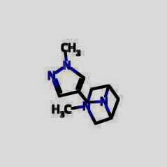 CN1CC2CC(C1)N2Cc1cnn(C)c1